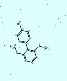 COc1cccc(OC)c1-c1ccc(Br)cc1